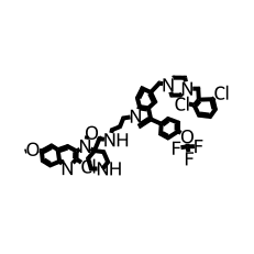 COc1ccc2nc(Cl)c(N(C)C3(C(=O)NCCCn4cc(-c5ccc(OC(F)(F)F)cc5)c5cc(CN6CCN(Cc7c(Cl)cccc7Cl)CC6)ccc54)CCNCC3)cc2c1